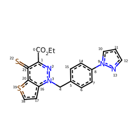 CCOC(=O)c1nn(Cc2ccc(-n3cccn3)cc2)c2ccsc2c1=S